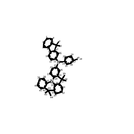 CC1(C)c2ccccc2-c2ccc(N(c3ccc(F)cc3)c3ccc4c(c3)C(C)(C)c3cccc5c3N4c3ccccc3C5(C)C)cc21